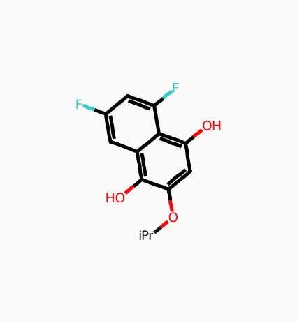 CC(C)Oc1cc(O)c2c(F)cc(F)cc2c1O